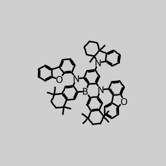 CC1(C)CCC(C)(C)c2cc3c(cc21)B1c2cc4c(cc2N(c2cccc5oc6ccccc6c25)c2cc(N5c6ccccc6C6(C)CCCCC56C)cc(c21)N3c1cccc2c1oc1ccccc12)C(C)(C)CCC4(C)C